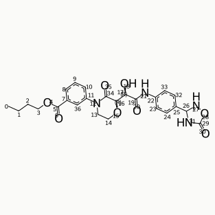 CCCCOC(=O)c1cccc(N2CCO[C@H]([C@@H](O)C(=O)Nc3ccc(C4NOC(=O)N4)cc3)C2=O)c1